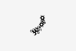 CCc1cc(=O)oc2nc(ON=C3CCC(S(=O)(=O)CC4CCCCC4)CC3)[nH]c(=O)c12